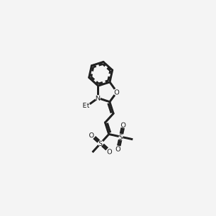 CCN1C(=CC=C(S(C)(=O)=O)S(C)(=O)=O)Oc2ccccc21